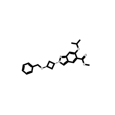 COC(=O)c1cc2cn([C@H]3C[C@H](OCc4ccccc4)C3)nc2cc1OC(C)C